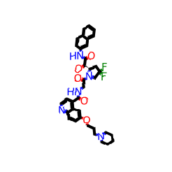 O=C(Nc1ccc2ccccc2c1)C(=O)[C@@H]1CC(F)(F)CN1C(=O)CNC(=O)c1ccnc2ccc(OCCCN3CCCCC3)cc12